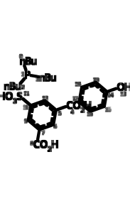 CCCCP(CCCC)CCCC.O=C(O)c1cc(C(=O)O)cc(S(=O)(=O)O)c1.Oc1ccccc1